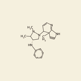 CC1[C@@H](Nc2ccccc2)CN(C2C=CN=C3NC#CC32C)N1C